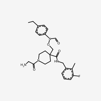 CCc1ccc(N(C=O)OCC2(C(=O)NCc3cccc(F)c3C)CCN(C(=O)CN)CC2)cc1